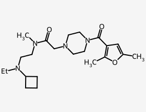 CCN(CCN(C)C(=O)CN1CCN(C(=O)c2cc(C)oc2C)CC1)C1CCC1